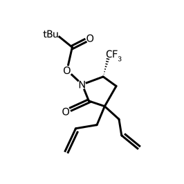 C=CCC1(CC=C)C[C@@H](C(F)(F)F)N(OC(=O)C(C)(C)C)C1=O